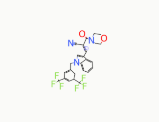 N#C/C(=C\c1cn(CC2=CC(C(F)(F)F)=CC(C(F)(F)F)C2)c2ccccc12)C(=O)N1CCOCC1